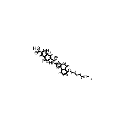 CCCCCCOc1cccc2c1CCc1sc(NC(=O)c3cc(F)c(C=C(C)C(=O)O)c(F)c3)nc1-2